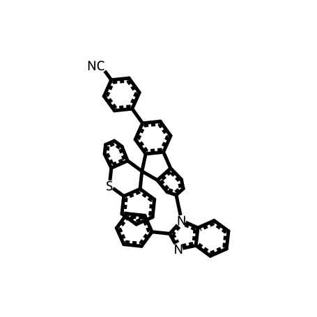 N#Cc1ccc(-c2ccc3c(c2)C2(c4ccccc4Sc4ccccc42)c2cc(-n4c(-c5ccccc5)nc5ccccc54)ccc2-3)cc1